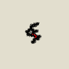 c1ccc(-c2nc3cc4oc5ccc(N(c6ccc7c(c6)oc6c(-c8cccc(-c9nc%10cc%11c(cc%10o9)oc9ccc(N(c%10ccc%12c(c%10)oc%10ccccc%10%12)c%10cccc%12c%13ccccc%13n(-c%13ccccc%13)c%10%12)cc9%11)c8)cccc67)c6ccc7c(c6)c6ccccc6n7-c6ccccc6)cc5c4cc3o2)cc1